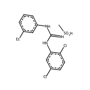 CCc1cccc(NC(=N)Nc2cc(Cl)ccc2Cl)c1.CS(=O)(=O)O